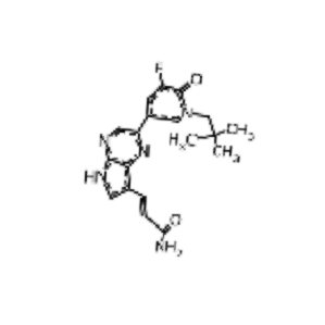 CC(C)(C)Cn1cc(-c2cnc3[nH]cc(/C=C/C(N)=O)c3n2)cc(F)c1=O